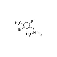 Cc1cc(F)c(CN(C)C)cc1Br